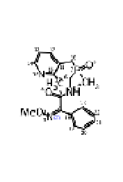 CO/N=C(\C(=O)NCP(C)(=O)Cc1cccnc1C)c1ccccc1